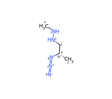 CNNC[C@H](C)N=[N+]=[N-]